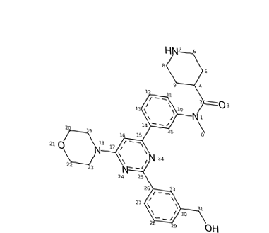 CN(C(=O)C1CCNCC1)c1cccc(-c2cc(N3CCOCC3)nc(-c3cccc(CO)c3)n2)c1